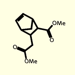 COC(=O)CC1C2C=CC(C2)C1C(=O)OC